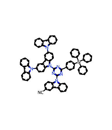 N#Cc1ccc2c(c1)c1ccccc1n2-c1nc(-c2ccc([Si](c3ccccc3)(c3ccccc3)c3ccccc3)cc2)nc(-n2c3ccc(-n4c5ccccc5c5ccccc54)cc3c3cc(-n4c5ccccc5c5ccccc54)ccc32)n1